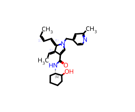 C\C=C/C=c1\c(=C\C)c(C(=O)N[C@H]2CCCCC2O)cn1Cc1ccnc(C)c1